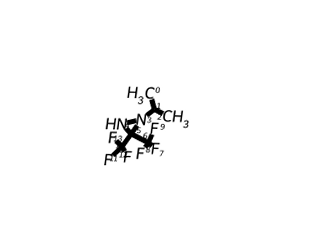 CC(C)N1NC1(C(F)(F)F)C(F)(F)F